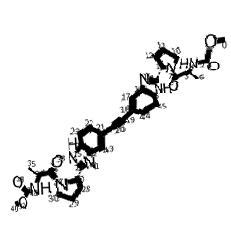 COC(=O)N[C@@H](C)C(=O)N1CCC[C@H]1c1nc2cc(C#Cc3ccc4[nH]c([C@@H]5CCCN5C(=O)[C@H](C)NC(=O)OC)nc4c3)ccc2[nH]1